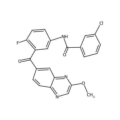 COc1cnc2ccc(C(=O)c3cc(NC(=O)c4cccc(Cl)c4)ccc3F)cc2n1